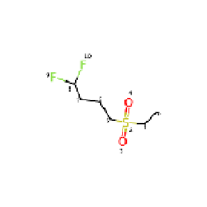 CCS(=O)(=O)CCCC(F)F